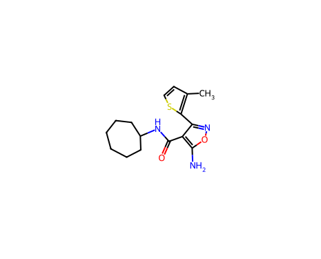 Cc1ccsc1-c1noc(N)c1C(=O)NC1CCCCCC1